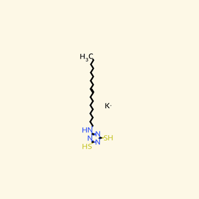 CCCCCCCCC=CCCCCCCCCNc1nc(S)nc(S)n1.[K]